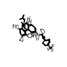 COc1cc(O)c2c3c1O[C@H]1[C@@H](NC(=O)C#Cc4ccc(C(F)(F)F)cc4)CC[C@H]4[C@@H](C2)[N+](C)(CC(C)C)CC[C@@]341